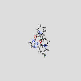 O=C(c1ccccc1-n1nccn1)N1C2CCC1C(COc1ccc(F)cn1)C2